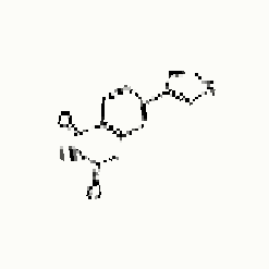 O=C1Cc2cc(-c3ccsc3)ccc2C(=O)N1